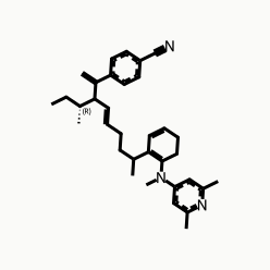 C=C(c1ccc(C#N)cc1)C(C=CCCC(C)C1=C(N(C)c2cc(C)nc(C)c2)CCC=C1)[C@H](C)CC